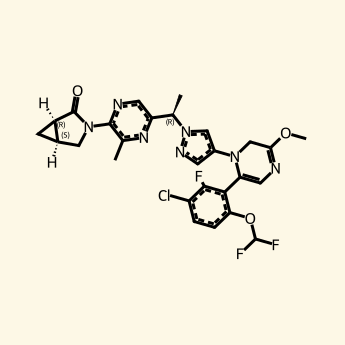 COC1=NC=C(c2c(OC(F)F)ccc(Cl)c2F)N(c2cnn([C@H](C)c3cnc(N4C[C@H]5C[C@H]5C4=O)c(C)n3)c2)C1